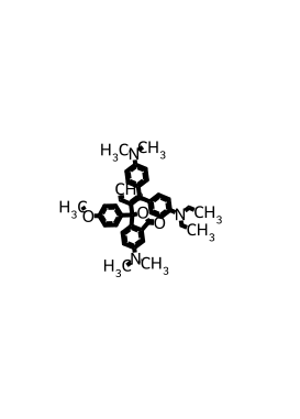 C=CC(=C(c1ccc(N(C)C)cc1)c1ccc(N(CC)CC)cc1)C1(c2ccc(OC)cc2)OC(=O)c2cc(N(C)C)ccc21